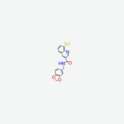 O=C(NCc1ccc2c(c1)OCO2)c1cnc2c(S)cccc2c1